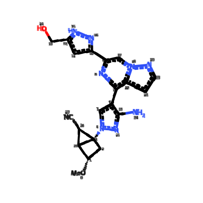 CO[C@H]1C[C@]2(n3cc(-c4nc(-c5cc(CO)[nH]n5)cn5nccc45)c(N)n3)C(C#N)C12